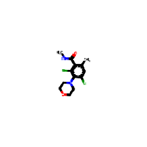 CNC(=O)c1c(C)cc(Cl)c(N2CCOCC2)c1Cl